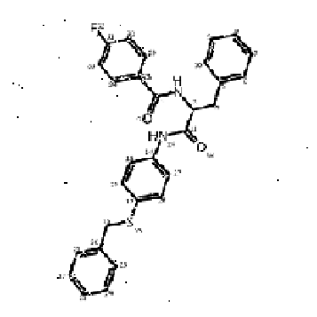 O=C(NC(Cc1ccccc1)C(=O)Nc1ccc(SCc2ccccc2)cc1)c1ccc(F)cc1